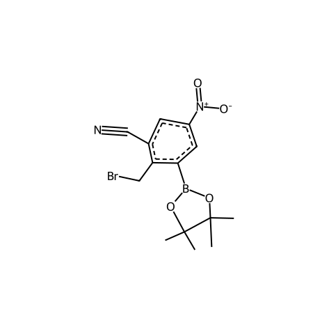 CC1(C)OB(c2cc([N+](=O)[O-])cc(C#N)c2CBr)OC1(C)C